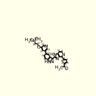 CC(=O)c1ccc(-c2nccc3[nH]c(-c4n[nH]c5ccc(-c6cncc(OCCN(C)C)c6)cc45)nc23)s1